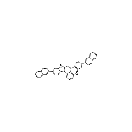 C1=CC(c2ccc3ccccc3c2)CC2=C1c1cc3sc4cc(-c5ccc6ccccc6c5)ccc4c3c3cccc(c13)S2